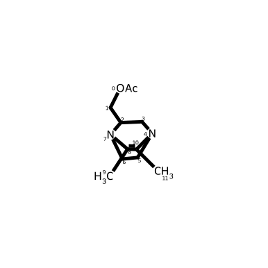 CC(=O)OCC1CN2CCN1C(C)=C2C